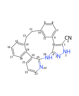 N#Cc1[nH]nc2c1-c1cccc(c1)CCc1ccccc1-c1cccnc1N2